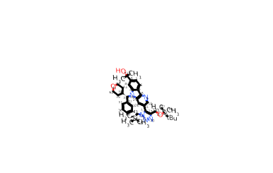 CC(C)(O)c1ccc2c3ncc(-c4c(CO[Si](C)(C)C(C)(C)C)nnn4C[Si](C)(C)C)cc3n([C@H](c3ccccc3)C3CCOCC3)c2c1